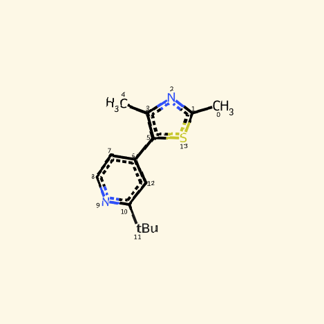 Cc1nc(C)c(-c2ccnc(C(C)(C)C)c2)s1